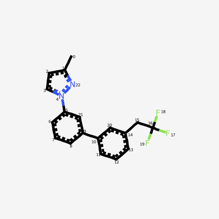 Cc1ccn(-c2cccc(-c3cccc(CC(F)(F)F)c3)c2)n1